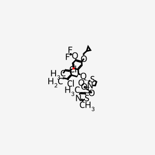 C=C/C(Cl)=C(C[C@H](OC(=O)[C@@H]1SCCN1S(=O)(=O)c1sc(C)nc1C)c1ccc(OC(F)F)c(OCC2CC2)c1)\C(Cl)=C/C